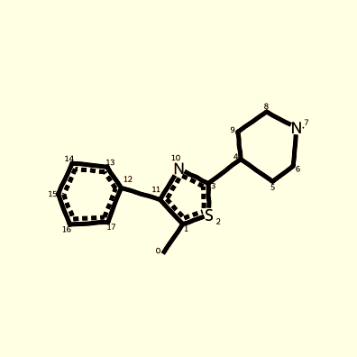 Cc1sc(C2CC[N]CC2)nc1-c1ccccc1